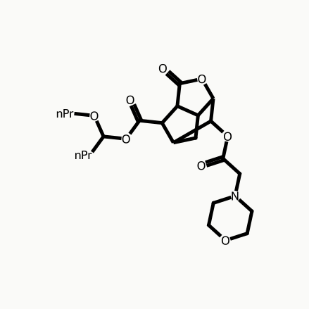 CCCOC(CCC)OC(=O)C1C2CC3C(OC(=O)C31)C2OC(=O)CN1CCOCC1